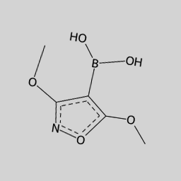 COc1noc(OC)c1B(O)O